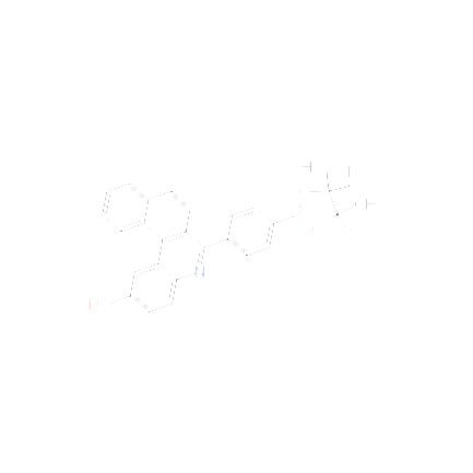 CC1(C)OB(c2ccc(-c3nc4ccc(O)cc4c4c3ccc3ccccc34)cc2)OC1(C)C